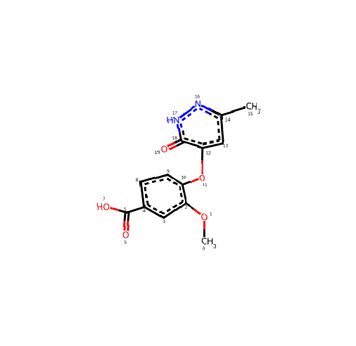 COc1cc(C(=O)O)ccc1Oc1cc(C)n[nH]c1=O